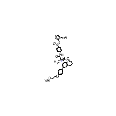 CCCCOCCOc1ccc(-c2cc(/C=C(\C)C(=O)Nc3ccc([S@@+]([O-])Cc4cncn4CCC)cc3)c3c(c2)CCCN3C)cc1